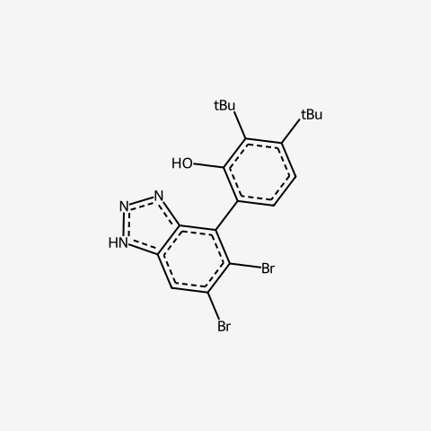 CC(C)(C)c1ccc(-c2c(Br)c(Br)cc3[nH]nnc23)c(O)c1C(C)(C)C